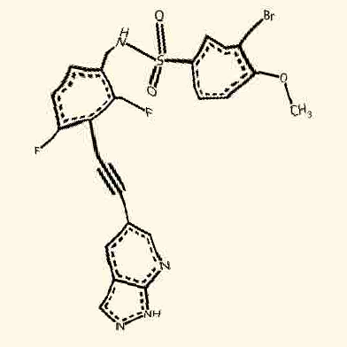 COc1ccc(S(=O)(=O)Nc2ccc(F)c(C#Cc3cnc4[nH]ncc4c3)c2F)cc1Br